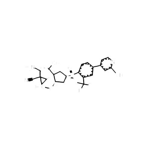 CO[C@@H]1C[C@H](S(=O)(=O)c2ccc(-c3ccnc(C)c3)cc2C(F)(F)F)C[C@@]1(C(=O)O)C1CC1(C#N)C(N)=O